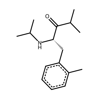 Cc1ccccc1C[C@H](NC(C)C)C(=O)C(C)C